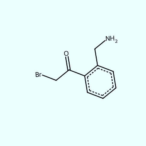 NCc1ccccc1C(=O)CBr